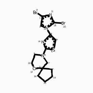 Brc1cn(-c2csc(N3CCOC4(CCCC4)C3)n2)c(Br)n1